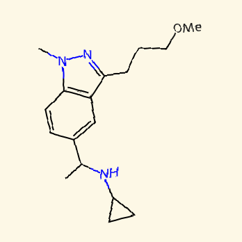 COCCCc1nn(C)c2ccc(C(C)NC3CC3)cc12